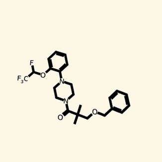 CC(C)(COCc1ccccc1)C(=O)N1CCN(c2ccccc2OC(F)C(F)(F)F)CC1